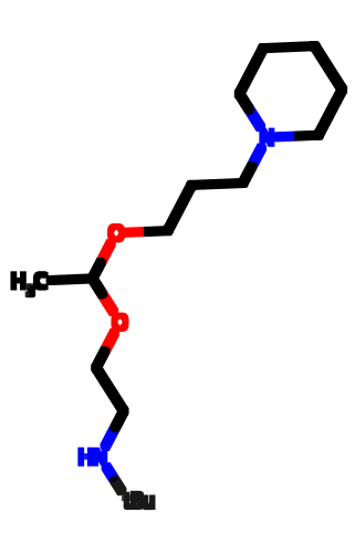 CC(OCCCN1CCCCC1)OCCNC(C)(C)C